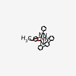 C\C=C/C=C\C=C\n1c2ccccc2c2ccc3c4ccccc4n(-c4nc(-c5ccccc5)nc(-c5ccccc5)n4)c3c21